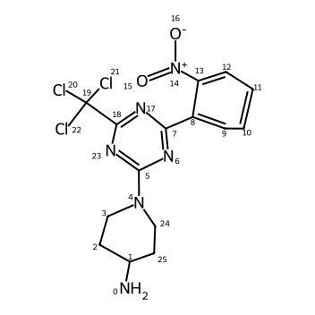 NC1CCN(c2nc(-c3ccccc3[N+](=O)[O-])nc(C(Cl)(Cl)Cl)n2)CC1